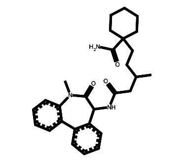 CC(CCC1(C(N)=O)CCCCC1)CC(=O)NC1C(=O)N(C)c2ccccc2-c2ccccc21